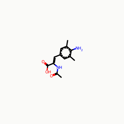 CC(=O)N/C(=C\c1cc(C)c(N)c(C)c1)C(=O)O